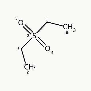 [CH]CS(=O)(=O)CC